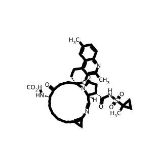 Cc1ccc2nc(C)c3c(c2c1)CC[C@]1(CCC(=O)[C@@H](NC(=O)O)CCCCC2=C(C2)/N=C\[C@@H]2[C@@H](C(=O)NS(=O)(=O)C4(C)CC4)CC(=O)N21)O3